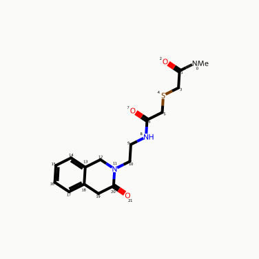 CNC(=O)CSCC(=O)NCCN1Cc2ccccc2CC1=O